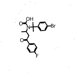 CC(CC(=O)c1ccc(F)cc1)N(C(=O)O)C(C)(C)c1ccc(Br)cc1